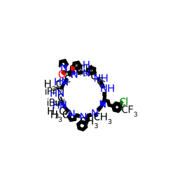 CC[C@H](C)[C@H]1CN[C@@H](CC(C)C)C(C)NCC2[C@@H](C(=O)N3CCCC3)C(C)N2[C@@H](C2CCCC2)C(C)NC2(CCCC2)CNCCNC=CC(CCc2ccc(C(F)(F)F)c(Cl)c2)=NC=CN(C)C=C(CC2CCCCC2)N(C)C=C2CCCN2[C@@H](C)C(C)N1